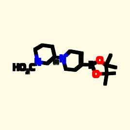 CC1(C)OB(C2=CCN([C@H]3CCCN(C(=O)O)C3)CC2)OC1(C)C